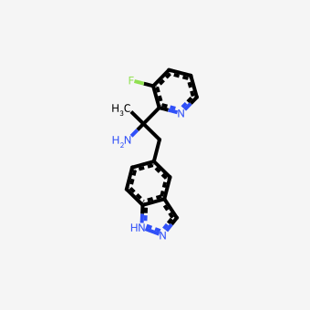 CC(N)(Cc1ccc2[nH]ncc2c1)c1ncccc1F